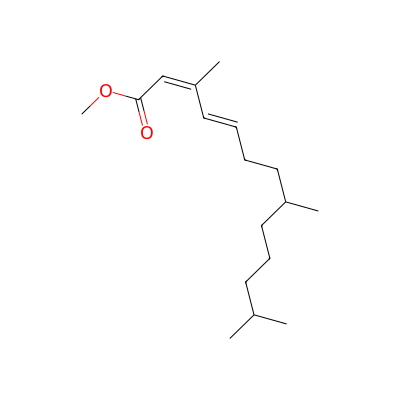 COC(=O)C=C(C)C=CCCC(C)CCCC(C)C